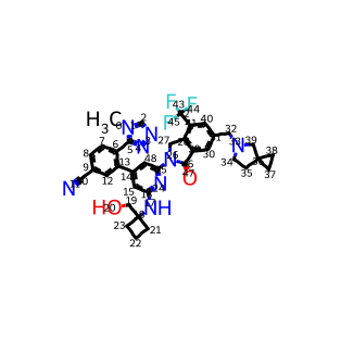 Cn1cnnc1-c1ccc(C#N)cc1-c1cc(NC2(CO)CCC2)nc(N2Cc3c(cc(CN4CCC5(CC5)C4)cc3C(F)(F)F)C2=O)c1